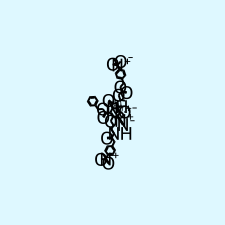 CC(OC(=O)OCc1ccc([N+](=O)[O-])cc1)[C@H]1C(=O)N2C(C(=O)OCc3ccccc3)=C(OCCNC(=O)Cc3ccc([N+](=O)[O-])cc3)C(=[N+]=[N-])[S+]([O-])[C@H]12